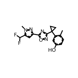 Cc1ccc(O)cc1C1(c2noc(-c3cc(C(F)F)n(C)n3)n2)CC1